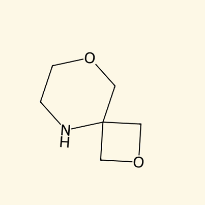 C1COCC2(COC2)N1